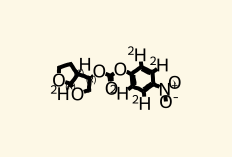 [2H]c1c([2H])c([N+](=O)[O-])c([2H])c([2H])c1OC(=O)O[C@H]1CO[C@@]2([2H])OCC[C@@H]12